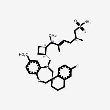 CO[C@@H](/C(C)=C/C[C@H](C)CS(N)(=O)=O)[C@@H]1CC[C@H]1CN1C[C@@]2(CCCc3cc(Cl)ccc32)COc2ccc(C(=O)O)cc21